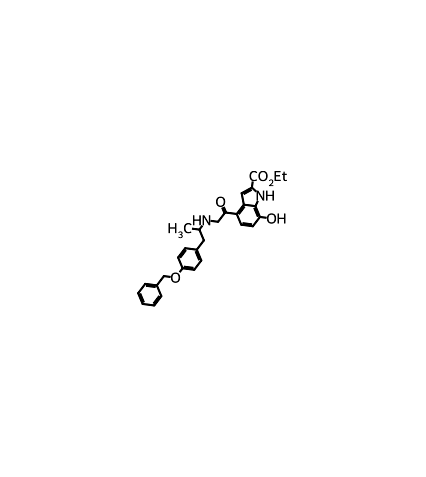 CCOC(=O)c1cc2c(C(=O)CNC(C)Cc3ccc(OCc4ccccc4)cc3)ccc(O)c2[nH]1